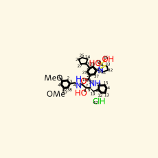 COc1cc(CNC[C@@H](O)[C@H](Cc2ccccc2)NC(=O)c2cc(C3CCCC3)cc(N3CCCS3(O)O)c2)cc(OC)c1.Cl